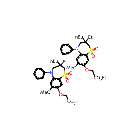 CCCCC1(CC)CN(c2ccccc2)c2cc(OC)c(OCC(=O)O)cc2S(=O)(=O)C1.CCCCC1(CC)CN(c2ccccc2)c2cc(OC)c(OCC(=O)OCC)cc2S(=O)(=O)C1